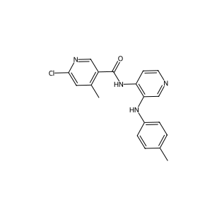 Cc1ccc(Nc2cnccc2NC(=O)c2cnc(Cl)cc2C)cc1